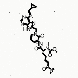 COC(=O)N[C@@H](CC/C=C/C(=O)N(C)C)C(=O)Nc1cccn(Cc2nc3c(/C=C/C4CC4)ncnc3[nH]2)c1=O